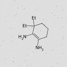 CCC1(CC)CCCC(N)=C1N